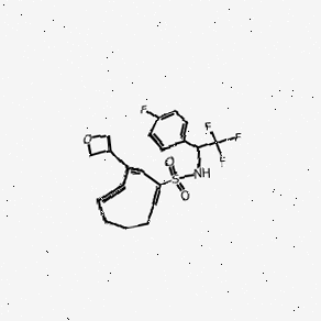 O=S(=O)(NC(c1ccc(F)cc1)C(F)(F)F)C1=C/CCC/C=C/C(C2COC2)=C\1